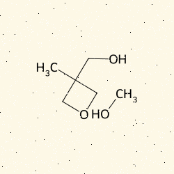 CC1(CO)COC1.CO